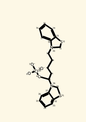 [O-][Cl+3]([O-])([O-])OC(CCCCN1CSc2ccccc21)N1CSc2ccccc21